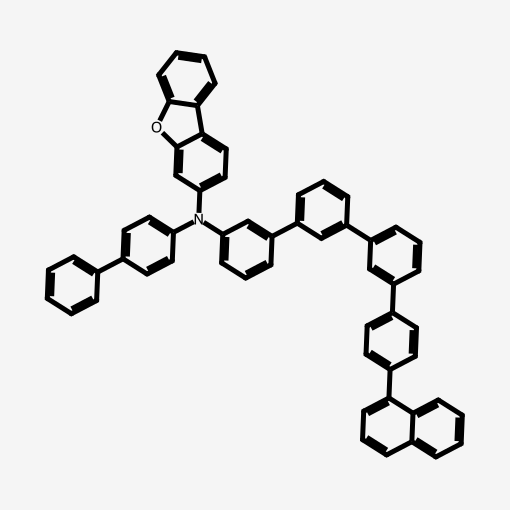 c1ccc(-c2ccc(N(c3cccc(-c4cccc(-c5cccc(-c6ccc(-c7cccc8ccccc78)cc6)c5)c4)c3)c3ccc4c(c3)oc3ccccc34)cc2)cc1